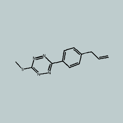 C=CCc1ccc(-c2nnc(SC)nn2)cc1